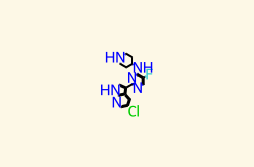 Fc1cnc(-c2c[nH]c3ncc(Cl)cc23)nc1NC1CCNCC1